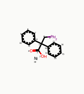 O=C(O)C(CP)(c1ccccc1)c1ccccc1.[Ni]